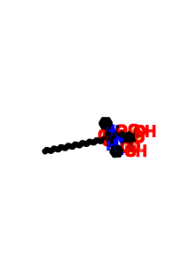 CCCCCCCCCCCCCCCCCCOC1(N=Nc2ccccc2)C(=O)N(c2ccccc2)N=C1NC(=O)c1cc(S(=O)(=O)O)cc(S(=O)(=O)O)c1